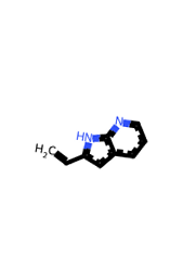 C=Cc1cc2cccnc2[nH]1